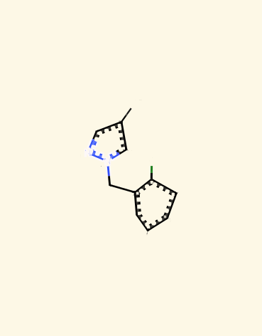 FC(F)(F)c1cnn(Cc2cc[c]cc2Cl)c1